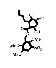 C=CCCc1c(Cl)c(O)cc(O)c1C(=O)OCc1c(OC)c(OC)cc([N+](=O)[O-])c1OC